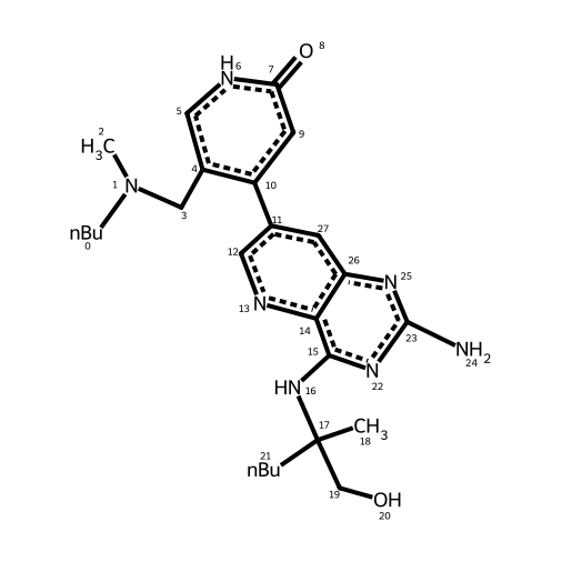 CCCCN(C)Cc1c[nH]c(=O)cc1-c1cnc2c(NC(C)(CO)CCCC)nc(N)nc2c1